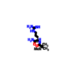 CNC(C)(C)C(=O)N[C@@H](CCCNC(=N)N)C(N)=O